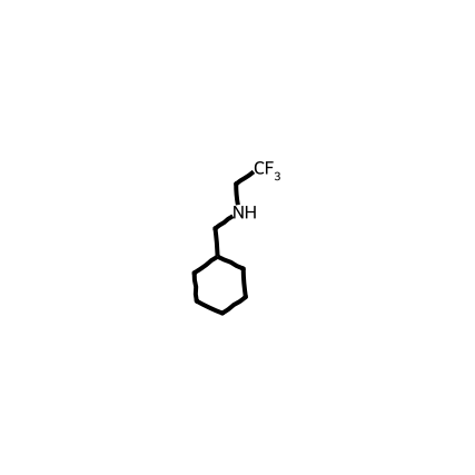 FC(F)(F)CNCC1CCCCC1